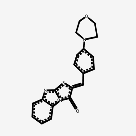 O=c1/c(=C/c2ccc(N3CCOCC3)cc2)sc2nc3ccccc3n12